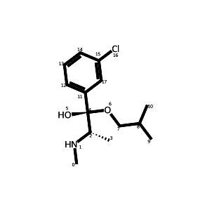 CN[C@@H](C)[C@@](O)(OCC(C)C)c1cccc(Cl)c1